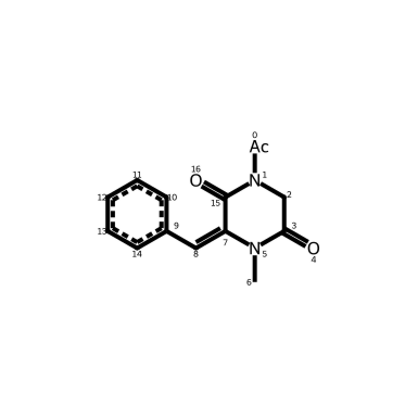 CC(=O)N1CC(=O)N(C)C(=Cc2ccccc2)C1=O